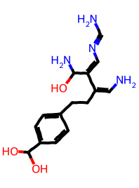 N\C=C(CCc1ccc(C(O)O)cc1)/C(=C/N=C/N)C(N)O